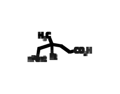 CCCCCCC(C)(CC)CCC(=O)O